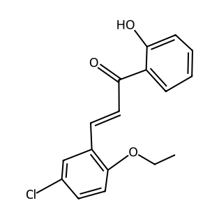 CCOc1ccc(Cl)cc1C=CC(=O)c1ccccc1O